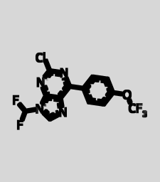 FC(F)n1cnc2c(-c3ccc(OC(F)(F)F)cc3)nc(Cl)nc21